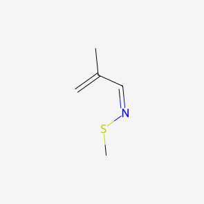 C=C(C)/C=N\SC